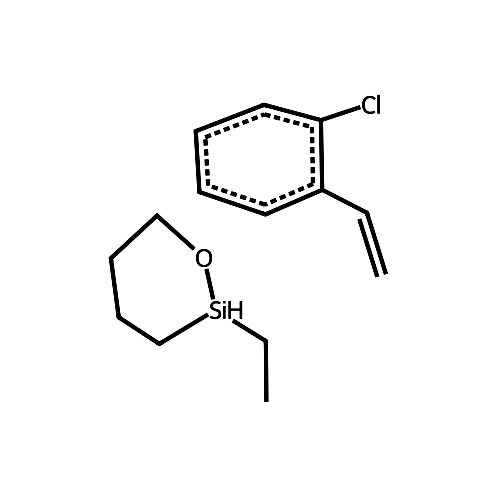 C=Cc1ccccc1Cl.CC[SiH]1CCCCO1